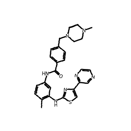 Cc1ccc(NC(=O)c2ccc(CN3CCN(C)CC3)cc2)cc1Nc1nc(-c2cnccn2)cs1